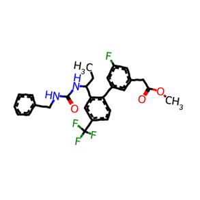 CCC(NC(=O)NCc1ccccc1)c1cc(C(F)(F)F)ccc1-c1cc(F)cc(CC(=O)OC)c1